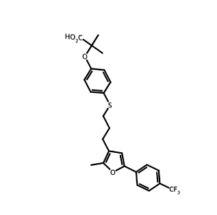 Cc1oc(-c2ccc(C(F)(F)F)cc2)cc1CCCSc1ccc(OC(C)(C)C(=O)O)cc1